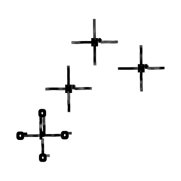 C[N+](C)(C)C.C[N+](C)(C)C.C[N+](C)(C)C.O=P([O-])([O-])[O-]